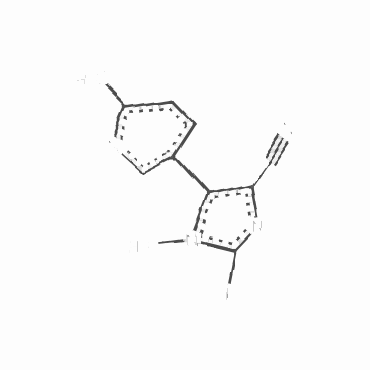 Cc1ccc(-c2c(C#N)nc(I)n2C)cn1